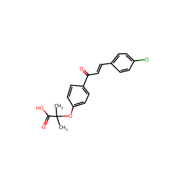 CC(C)(Oc1ccc(C(=O)C=Cc2ccc(Cl)cc2)cc1)C(=O)O